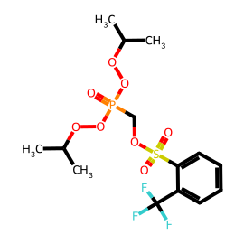 CC(C)OOP(=O)(COS(=O)(=O)c1ccccc1C(F)(F)F)OOC(C)C